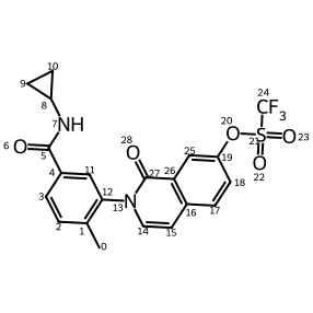 Cc1ccc(C(=O)NC2CC2)cc1-n1ccc2ccc(OS(=O)(=O)C(F)(F)F)cc2c1=O